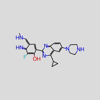 CN/C=C1/C=C(c2nc(C3CC3)c3cc(N4CCNCC4)ccc3n2)C(O)=C(F)C1=N